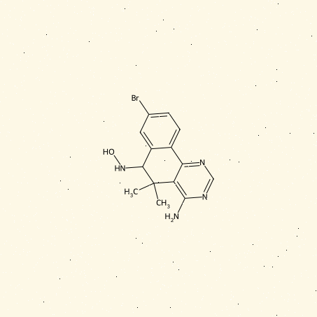 CC1(C)c2c(N)ncnc2-c2ccc(Br)cc2C1NO